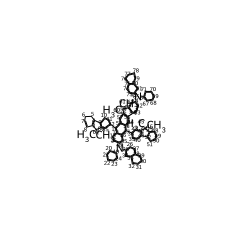 CC1(C)C2=C(CCC=C2)c2ccc(-c3c4ccc(N(c5ccccc5)c5ccc6ccccc6c5)cc4c(-c4ccc5c(c4)C(C)(C)c4ccccc4-5)c4cc5c(cc34)C(C)(C)c3cc(N(c4ccccc4)c4ccc6ccccc6c4)ccc3-5)cc21